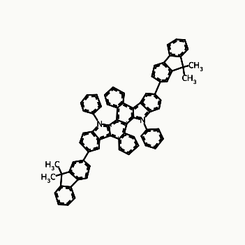 CC1(C)c2ccccc2-c2ccc(-c3ccc4c(c3)c3c5ccccc5c5c(c6ccccc6c6c7cc(-c8ccc9c(c8)C(C)(C)c8ccccc8-9)ccc7n(-c7ccccc7)c65)c3n4-c3ccccc3)cc21